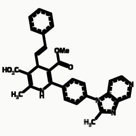 COC(=O)C1=C(c2ccc(-n3c(C)nc4cnccc43)cc2)NC(C)=C(C(=O)O)C1C=Cc1ccccc1